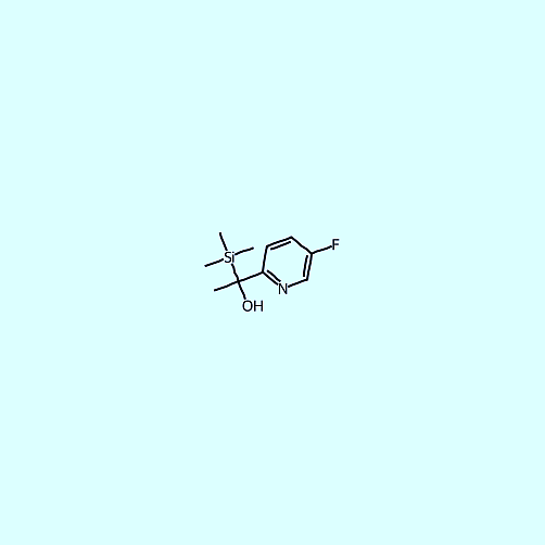 CC(O)(c1ccc(F)cn1)[Si](C)(C)C